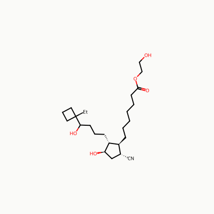 CCC1(C(O)CCC[C@@H]2[C@@H](CCCCCCC(=O)OCCO)[C@H](C#N)C[C@H]2O)CCC1